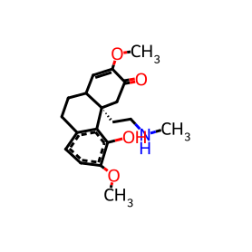 CNCC[C@@]12CC(=O)C(OC)=CC1CCc1ccc(OC)c(O)c12